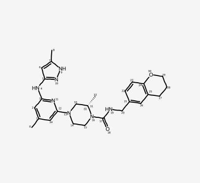 Cc1cc(Nc2cc(C)[nH]n2)nc(N2CCN(C(=O)NCc3ccc4c(c3)CCCO4)[C@@H](C)C2)c1